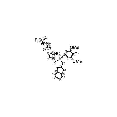 COc1cc([C@@H](O)[C@@H](CC2Cc3ccccc3C2)Cn2ccc(CC(=O)NS(=O)(=O)C(F)(F)F)c2)cc(OC)c1C